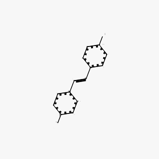 Cc1ccc(C=Cc2ccc(Br)cc2)cc1